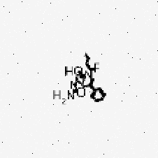 CCCC(F)N(CC(c1ccccc1)c1nnc(N)o1)C(=O)O